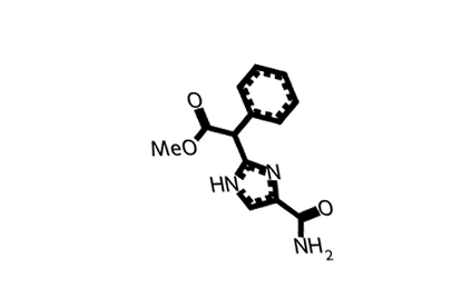 COC(=O)C(c1ccccc1)c1nc(C(N)=O)c[nH]1